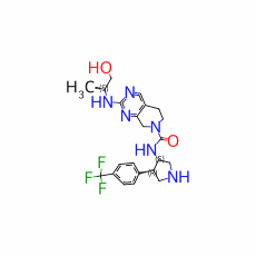 C[C@@H](CO)Nc1ncc2c(n1)CN(C(=O)N[C@@H]1CNC[C@H]1c1ccc(C(F)(F)F)cc1)CC2